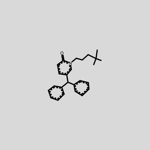 CC(C)(C)CCCn1cc(C(c2ccccc2)c2ccccc2)ccc1=O